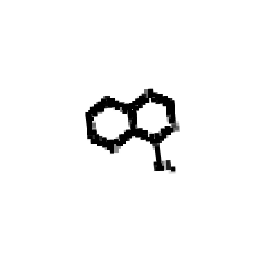 Nc1ncnc2ccnnc12